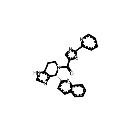 O=C(c1cnc(-c2ccccn2)s1)N1CCc2[nH]cnc2[C@H]1c1ccc2ccccc2n1